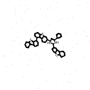 C1=C(c2ccccc2)NC(c2ccc3oc4ccccc4c3c2)NC1c1ccc2c(c1)sc1cccc(-c3cccc4c3sc3ccccc34)c12